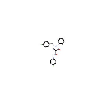 O=C(Nc1ccc(F)cc1)c1cn(Cc2ccc(Cl)cc2)n(-c2ccc(Cl)cc2Cl)c1=O